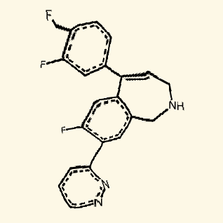 Fc1ccc(C2=CCNCc3cc(-c4cccnn4)c(F)cc32)cc1F